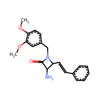 COc1ccc(CN2C(=O)C(N)C2C=Cc2ccccc2)cc1OC